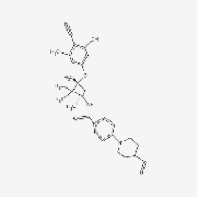 Cc1cc(O[C@]2(C)C[C@@](C)(NC(=O)c3ccc(N4CCC(C=O)CC4)cc3)C2(C)C)cc(C)c1C#N